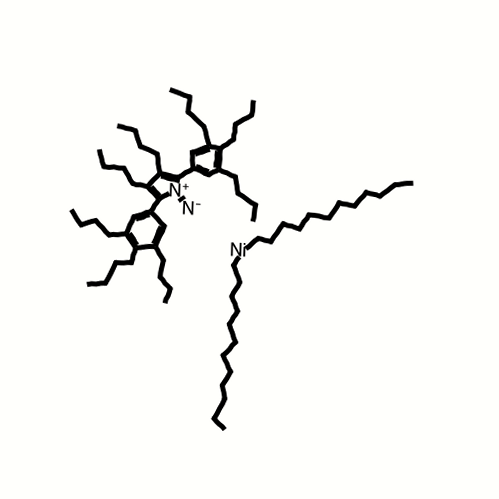 CCCCC1=C(c2cc(CCCC)c(CCCC)c(CCCC)c2)[N+](=[N-])C(c2cc(CCCC)c(CCCC)c(CCCC)c2)=C1CCCC.CCCCCCCCCCC[CH2][Ni][CH2]CCCCCCCCCCC